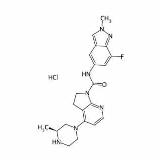 C[C@H]1CN(c2ccnc3c2CCN3C(=O)Nc2cc(F)c3nn(C)cc3c2)CCN1.Cl